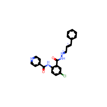 O=C(Nc1ccc(Cl)cc1C(=O)N/N=C/C=C/c1ccccc1)c1ccncc1